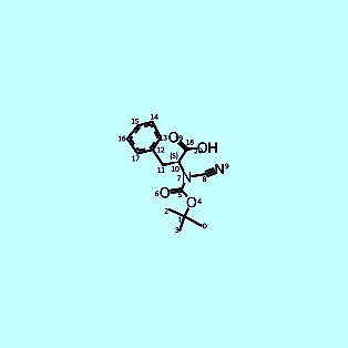 CC(C)(C)OC(=O)N(C#N)[C@@H](Cc1ccccc1)C(=O)O